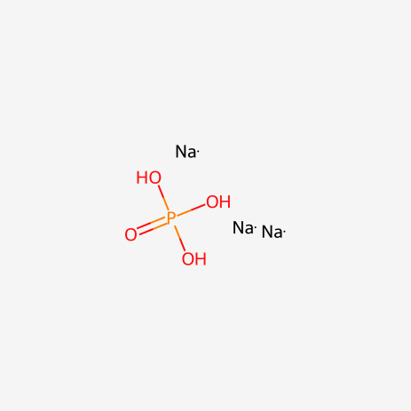 O=P(O)(O)O.[Na].[Na].[Na]